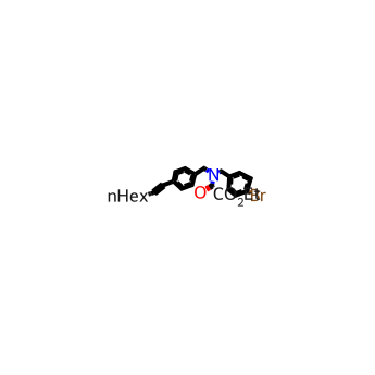 CCCCCCC#Cc1ccc(CN(Cc2ccc(Br)cc2)C(=O)C(=O)OCC)cc1